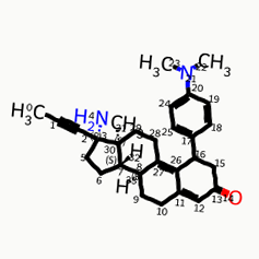 CC#C[C@]1(N)CC[C@H]2[C@@H]3CCC4=CC(=O)CC(c5ccc(N(C)C)cc5)C4=C3CC[C@@]21C